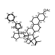 C=C(C)C1(C)C2C3CCC4C5CCC(OC(C)=O)CC5CCC4C3CCC2(C(=O)NC2(c3ncc(-c4ccccc4)[nH]3)CCCC2)C(C)(C)C1(C)C